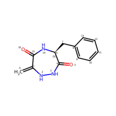 C=C1NNC(=O)[C@H](Cc2ccccc2)NC1=O